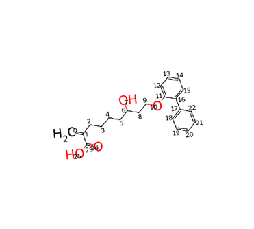 C=C(CCCCC(O)CCOc1ccccc1-c1ccccc1)C(=O)O